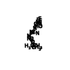 C[Si](C)(C)CCOCn1ccc2c(-c3cnn([C@]4(CC#N)C[C@@H](N5CCC(Oc6cc(CO)nc(C(F)(F)F)n6)CC5)C4)c3)ncnc21